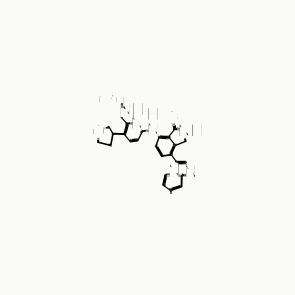 CC(C)(C)NCc1nc(Nc2ccc(-c3cnc4cc(F)ccn34)c3c2C(=O)NC3)ccc1C1CCOC1